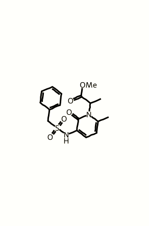 COC(=O)C(C)n1c(C)ccc(NS(=O)(=O)Cc2ccccc2)c1=O